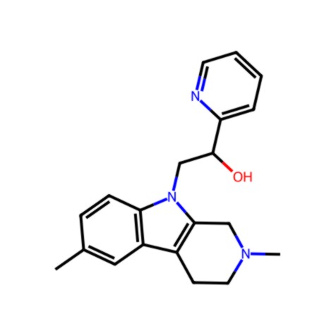 Cc1ccc2c(c1)c1c(n2CC(O)c2ccccn2)CN(C)CC1